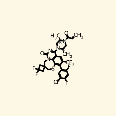 C=CC(=O)N1C[C@H](C)N(c2nc(=O)n3c4c(c(-c5cc(Cl)c(F)cc5F)c(C(F)(F)F)cc24)SCC2(C3)CC(F)(F)C2)C[C@H]1C